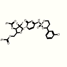 CC(C)C(=O)OCC1O[C@@H](n2ccc(NP3(=O)OCCC(c4cccc(Cl)c4)O3)nc2=O)C(F)(F)C1OC(=O)C(C)C